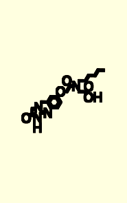 CCCCCCN(CC(=O)O)C(=O)COc1ccc2c(c1)CN1CC(=O)NC1=N2